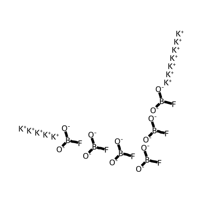 [K+].[K+].[K+].[K+].[K+].[K+].[K+].[K+].[K+].[K+].[K+].[K+].[O-]B([O-])F.[O-]B([O-])F.[O-]B([O-])F.[O-]B([O-])F.[O-]B([O-])F.[O-]B([O-])F